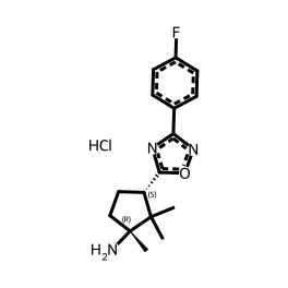 CC1(C)[C@@H](c2nc(-c3ccc(F)cc3)no2)CC[C@@]1(C)N.Cl